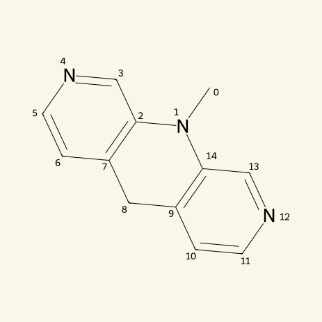 CN1c2cnccc2Cc2ccncc21